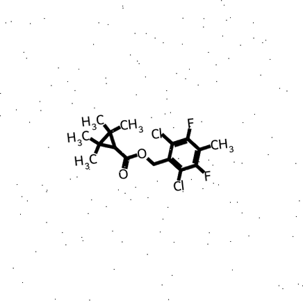 Cc1c(F)c(Cl)c(COC(=O)C2C(C)(C)C2(C)C)c(Cl)c1F